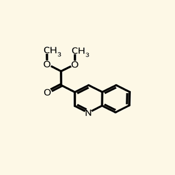 COC(OC)C(=O)c1cnc2ccccc2c1